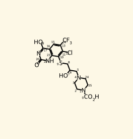 O=C(O)N1CCN(CC(O)CSc2c(Cl)c(C(F)(F)F)cc3c(O)nc(=O)[nH]c23)CC1